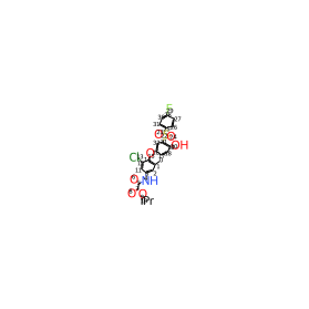 Cc1cc(NC(=O)C(=O)OC(C)C)cc(Cl)c1Oc1ccc(O)c(S(=O)(=O)c2ccc(F)cc2)c1